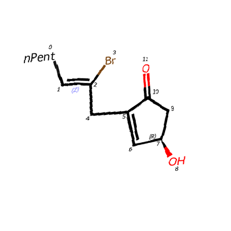 CCCCC/C=C(\Br)CC1=C[C@H](O)CC1=O